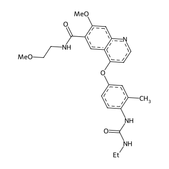 CCNC(=O)Nc1ccc(Oc2ccnc3cc(OC)c(C(=O)NCCOC)cc23)cc1C